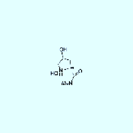 CNC(=O)[C@H]1CC(O)CN1.Cl